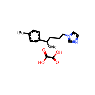 CSC(CCCn1ccnc1)c1ccc(C(C)(C)C)cc1.O=C(O)C(=O)O